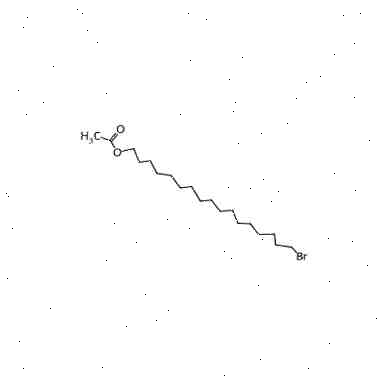 CC(=O)OCCCCCCCCCCCCCCCCCBr